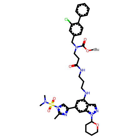 Cc1nc(-c2cc(NCCCNC(=O)CCN(Cc3ccc(-c4ccccc4)c(Cl)c3)C(=O)OC(C)(C)C)c3cnn(C4CCCCO4)c3c2)cn1S(=O)(=O)N(C)C